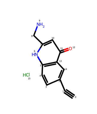 C#Cc1ccc2[nH]c(CN)cc(=O)c2c1.Cl